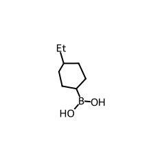 CCC1CCC(B(O)O)CC1